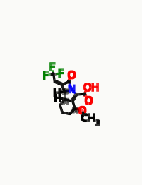 CO[C@H]1CCC[C@H]2C1=C(C(=O)O)N1C(=O)C(=CC(F)(F)F)[C@@H]21